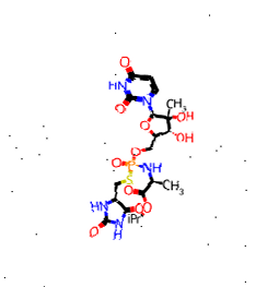 CC(C)OC(=O)[C@H](C)N[P@@](=O)(OC[C@H]1O[C@@H](n2ccc(=O)[nH]c2=O)[C@](C)(O)[C@@H]1O)SC[C@@H]1NC(=O)NC1=O